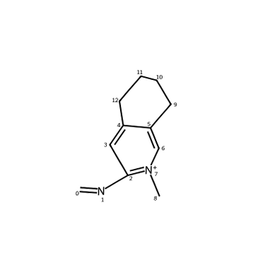 C=Nc1cc2c(c[n+]1C)CCCC2